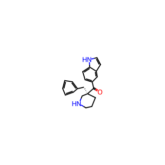 O=C(c1ccc2[nH]ccc2c1)[C@@]1(Cc2ccccc2)CCCNC1